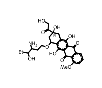 CCC(O)C(N)CCOC1C[C@](O)(C(=O)CO)Cc2c(O)c3c(c(O)c21)C(=O)c1c(OC)cccc1C3=O